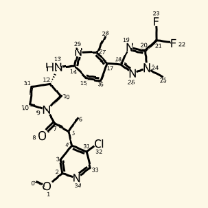 COc1cc(C(C)C(=O)N2CC[C@H](Nc3ccc(-c4nc(C(F)F)n(C)n4)c(C)n3)C2)c(Cl)cn1